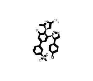 Cc1nc(C(F)(F)F)cn1-c1c(F)cc(-c2cccc(S(C)(=O)=O)c2)cc1-n1nncc1-c1ccc(Cl)cc1